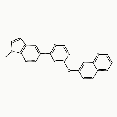 Cn1ccc2cc(-c3cc(Oc4ccc5cccnc5c4)ncn3)ccc21